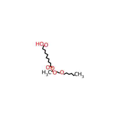 CCCCCCOCCOC(C)OC(=O)CCCCCCCCC(=O)O